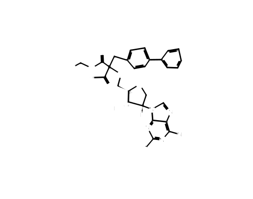 CCOC(=O)C(Cc1ccc(-c2ccccc2)cc1)(OC[C@H]1OC[C@](F)(n2cnc3c(N)nc(Cl)nc32)[C@@H]1O)C(=O)O